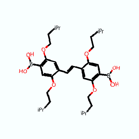 CC(C)CCOc1cc(B(O)O)c(OCCC(C)C)cc1C=Cc1cc(OCCC(C)C)c(B(O)O)cc1OCCC(C)C